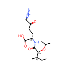 CC[C@@H](C)[C@H](OC(C)C)C(=O)N[C@@H](CCC(=O)C=[N+]=[N-])C(=O)O